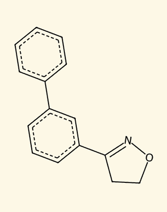 c1ccc(-c2cccc(C3=NOCC3)c2)cc1